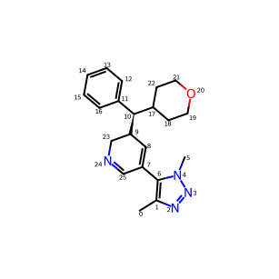 Cc1nnn(C)c1C1=CC([C@@H](c2ccccc2)C2CCOCC2)CN=C1